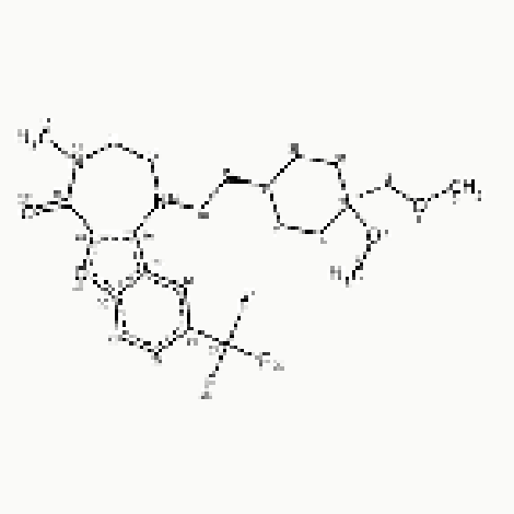 COC[C@]1(OC)CC[C@@H](CCN2CCN(C)C(=O)c3oc4ccc(C(F)(F)F)cc4c32)CC1